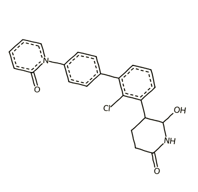 O=C1CCC(c2cccc(-c3ccc(-n4ccccc4=O)cc3)c2Cl)C(O)N1